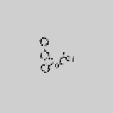 C/C(O)=C/C(C)O[C@H]1CN2C=C(c3ccccc3)C=CC2c2ccccc21